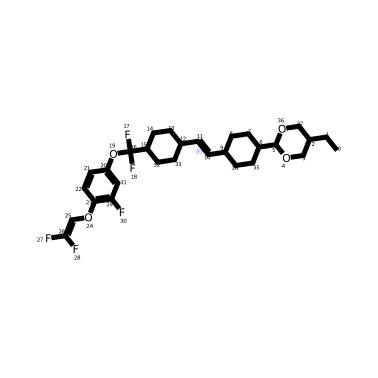 CCC1COC(C2CCC(/C=C/C3CCC(C(F)(F)Oc4ccc(OC=C(F)F)c(F)c4)CC3)CC2)OC1